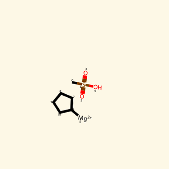 CS(=O)(=O)O.[Mg+2][CH]1CCCC1